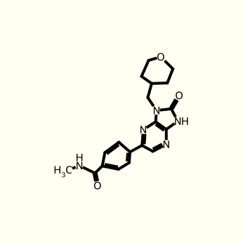 CNC(=O)c1ccc(-c2cnc3[nH]c(=O)n(CC4CCOCC4)c3n2)cc1